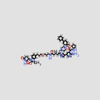 CN1CCN(CC2(CO[C@H]3CCC[C@@H]3NC(=O)c3cc(-c4cnn(CCCCC(=O)NCCCOCCCc5ccc6c(c5)n(C)c(=O)n6C5CCC(=O)NC5=O)c4)cnc3N)C=CC(c3ccccc3)=CC2)CC1